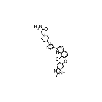 Cc1nc2ccc(Oc3ccc4ncc(-c5cnn(C6CCN(CC(N)=O)CC6)c5)nc4c3Cl)cc2[nH]1